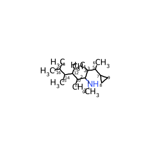 CNC(C(C)C(C)C1CC1)C(C)C(C)C(C)C(C)C